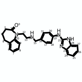 O=C1CC[CH]c2ccccc2N1CCNCc1ccc(Nc2nc3ccccc3[nH]2)cc1